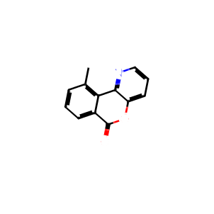 Cc1cccc2c(=O)oc3cccnc3c12